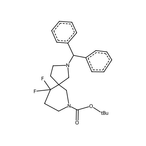 CC(C)(C)OC(=O)N1CCC(F)(F)C2(CCN(C(c3ccccc3)c3ccccc3)C2)C1